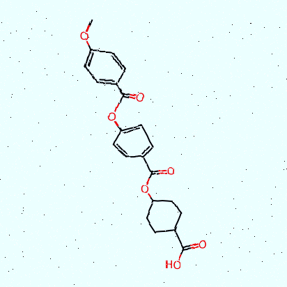 COc1ccc(C(=O)Oc2ccc(C(=O)OC3CCC(C(=O)O)CC3)cc2)cc1